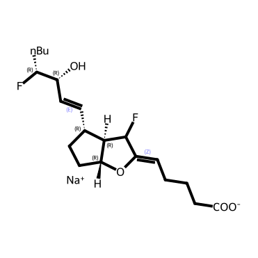 CCCC[C@@H](F)[C@H](O)/C=C/[C@H]1CC[C@H]2O/C(=C\CCCC(=O)[O-])C(F)[C@H]12.[Na+]